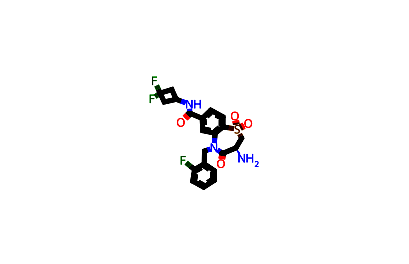 N[C@H]1CS(=O)(=O)c2ccc(C(=O)NC3CC(F)(F)C3)cc2N(Cc2ccccc2F)C1=O